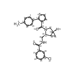 Cc1ccc(-c2sccc2C(=O)N2C[C@@H]3CC3[C@H]2CNC(=O)c2cccc(Cl)c2)cc1